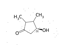 CC1C(=O)C[C@H](O)C1C